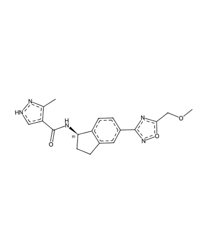 COCc1nc(-c2ccc3c(c2)CC[C@H]3NC(=O)c2c[nH]nc2C)no1